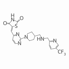 O=C1NC(=O)C(=Cc2ccnc(N3CCC(CNCc4ccc(C(F)(F)F)cn4)CC3)n2)S1